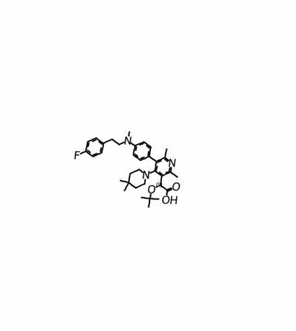 Cc1nc(C)c([C@H](OC(C)(C)C)C(=O)O)c(N2CCC(C)(C)CC2)c1-c1ccc(N(C)CCc2ccc(F)cc2)cc1